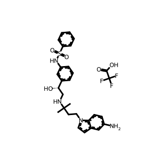 CC(C)(CCn1ccc2cc(N)ccc21)NC[C@H](O)c1cccc(NS(=O)(=O)c2ccccc2)c1.O=C(O)C(F)(F)F